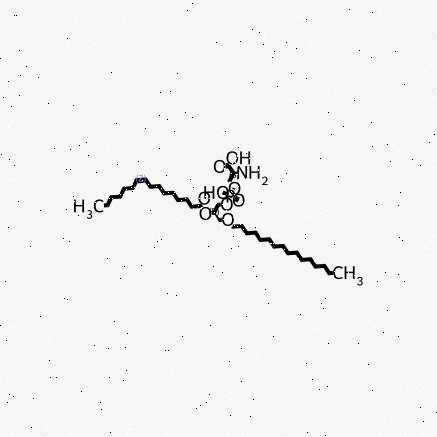 CCCCCC/C=C\CCCCCCCC(=O)O[C@H](COCCCCCCCCCCCCCCCC)COP(=O)(O)OC[C@H](N)C(=O)O